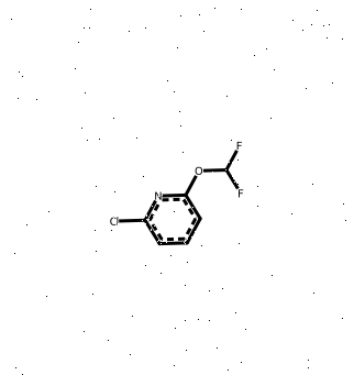 FC(F)Oc1cccc(Cl)n1